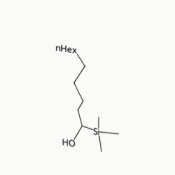 CCCCCCCCCCC(O)[Si](C)(C)C